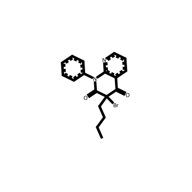 CCCCC1(Br)C(=O)c2cccnc2N(c2ccccc2)C1=O